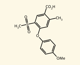 COc1ccc(Oc2cc(C)c(C(=O)O)cc2S(C)(=O)=O)cc1